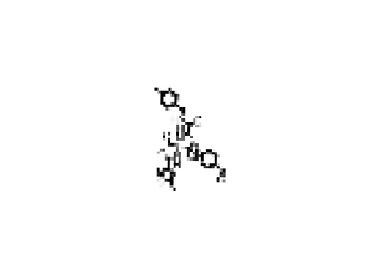 Cc1ccc(CNC(=O)[C@H](COc2ccc(C=O)cc2)N[C@](C=O)(NC(=O)c2cc(C)on2)[C@@H](C)O)cc1